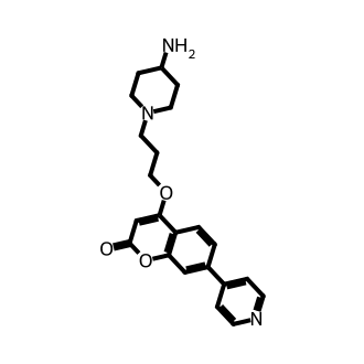 NC1CCN(CCCOc2cc(=O)oc3cc(-c4ccncc4)ccc23)CC1